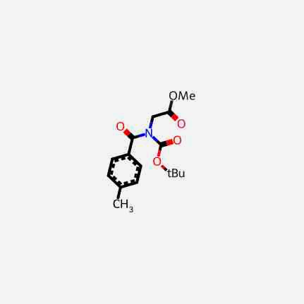 COC(=O)CN(C(=O)OC(C)(C)C)C(=O)c1ccc(C)cc1